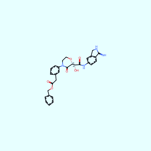 N=C1NCc2cc(NC(=O)[C@H](O)[C@H]3OCCN(c4cccc(CC(=O)OCc5ccccc5)c4)C3=O)ccc21